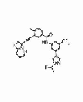 Cc1ccc(C(=O)Nc2cc(-c3cnn(C(F)F)c3)cc(C(F)(F)F)c2)cc1C#Cc1cnc2cccnn12